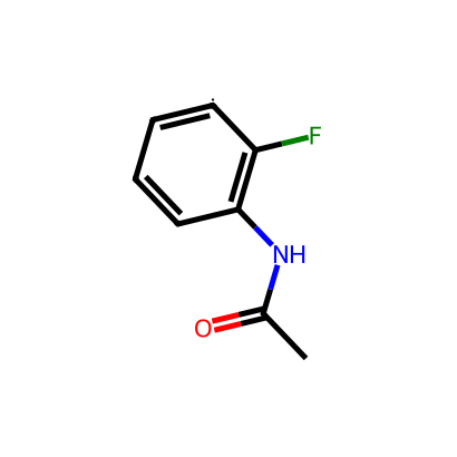 CC(=O)Nc1ccc[c]c1F